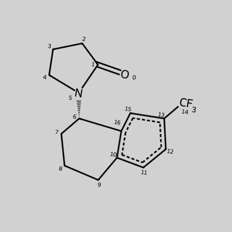 O=C1CCCN1[C@H]1CCCc2ccc(C(F)(F)F)cc21